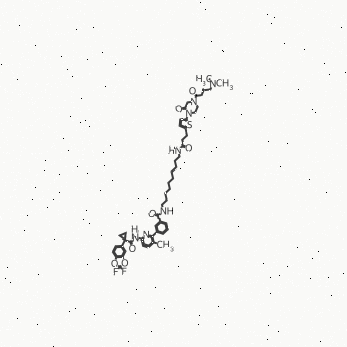 Cc1ccc(NC(=O)C2(c3ccc4c(c3)OC(F)(F)O4)CC2)nc1-c1cccc(C(=O)NCCCCCCCCCCNC(=O)CCc2ccc(N3CCN(C(=O)/C=C/CN(C)C)CC3=O)s2)c1